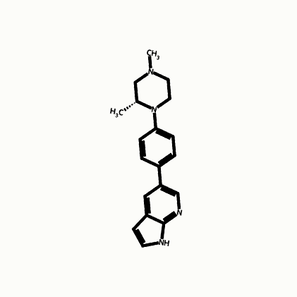 C[C@@H]1CN(C)CCN1c1ccc(-c2cnc3[nH]ccc3c2)cc1